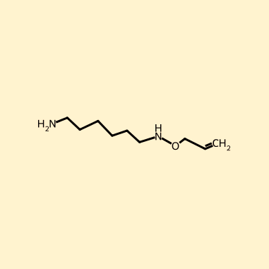 C=CCONCCCCCCN